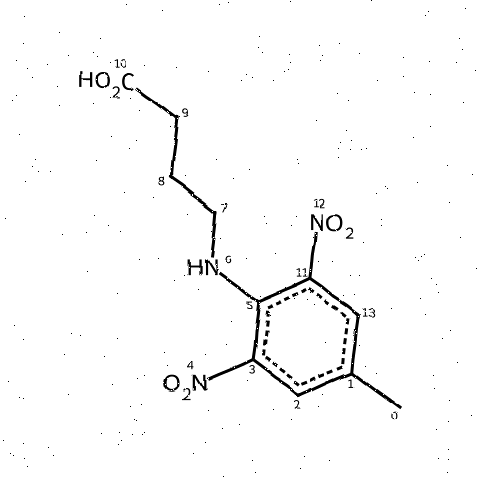 Cc1cc([N+](=O)[O-])c(NCCCC(=O)O)c([N+](=O)[O-])c1